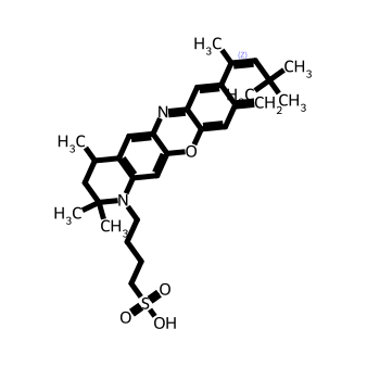 C=c1cc2c(cc1/C(C)=C\C(C)(C)C)=Nc1cc3c(cc1O2)N(CCCCS(=O)(=O)O)C(C)(C)CC3C